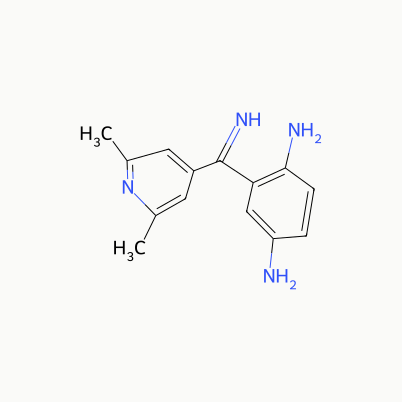 Cc1cc(C(=N)c2cc(N)ccc2N)cc(C)n1